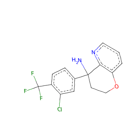 NC1(c2ccc(C(F)(F)F)c(Cl)c2)CCOc2cccnc21